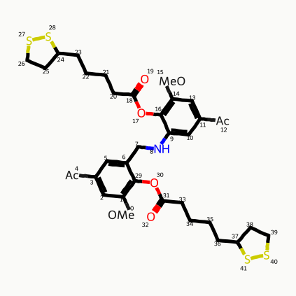 COc1cc(C(C)=O)cc(CNc2cc(C(C)=O)cc(OC)c2OC(=O)CCCCC2CCSS2)c1OC(=O)CCCCC1CCSS1